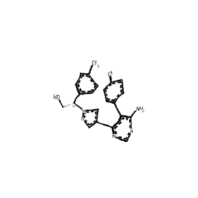 Nc1ncnc(-c2cnn([C@H](CO)c3ccc(C(F)(F)F)cc3)c2)c1-c1ccc(Cl)cc1